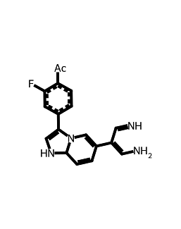 CC(=O)c1ccc(C2=CNC3C=CC(/C(C=N)=C/N)=CN23)cc1F